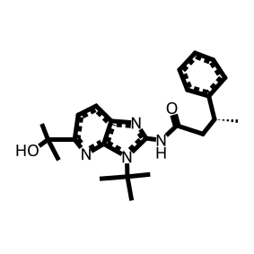 C[C@H](CC(=O)Nc1nc2ccc(C(C)(C)O)nc2n1C(C)(C)C)c1ccccc1